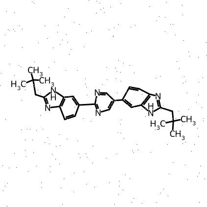 CC(C)(C)Cc1nc2ccc(-c3cnc(-c4ccc5nc(CC(C)(C)C)[nH]c5c4)nc3)cc2[nH]1